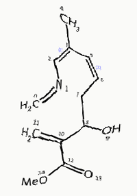 C=N/C=C(C)\C=C/CC(O)C(=C)C(=O)OC